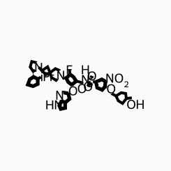 CC(C)c1ccccc1[C@@H]1CCCN1C1CC2(CCN(c3cc(Oc4cnc5[nH]ccc5c4)c(C(=O)NS(=O)(=O)c4ccc(OCC5CCC(C)(O)CC5)c([N+](=O)[O-])c4)cc3F)CC2)C1